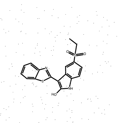 CCS(=O)(=O)c1ccc2[nH]c(O)c(-c3nc4ccccc4s3)c2c1